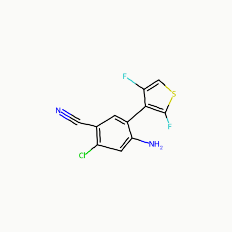 N#Cc1cc(-c2c(F)csc2F)c(N)cc1Cl